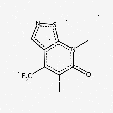 Cc1c(C(F)(F)F)c2cnsc2n(C)c1=O